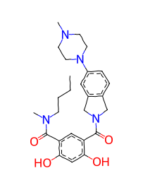 CCCCN(C)C(=O)c1cc(C(=O)N2Cc3ccc(N4CCN(C)CC4)cc3C2)c(O)cc1O